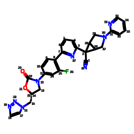 N#CC1(c2cccc(-c3ccc(N4C[C@H](Cn5ccnn5)OC4=O)cc3F)n2)C2CN(c3ccccn3)CC21